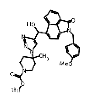 COc1ccc(CN2C(=O)c3cccc4c(C(O)c5cn(C6(C)CCN(C(=O)OC(C)(C)C)CC6)nn5)ccc2c34)cc1